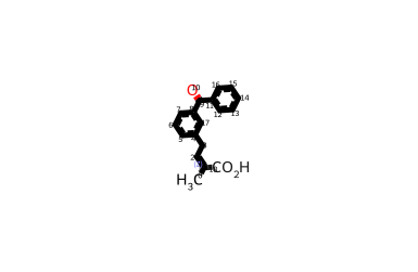 C/C(=C/Cc1cccc(C(=O)c2ccccc2)c1)C(=O)O